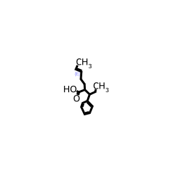 C/C=C/CCC(C(=O)O)C(CC)c1ccccc1